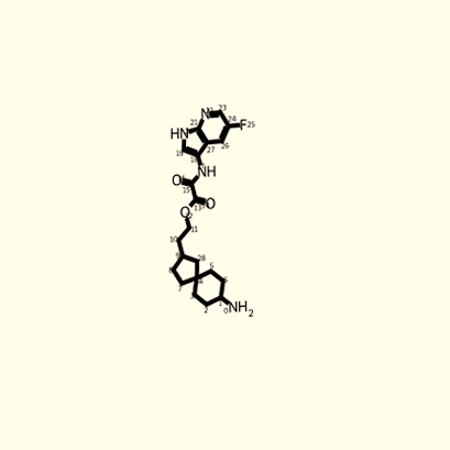 NC1CCC2(CC1)CCC(CCOC(=O)C(=O)Nc1c[nH]c3ncc(F)cc13)C2